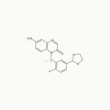 C[C@@H](c1cc(C2OCCO2)ccc1F)n1c(=O)cnc2cc(N)ccc21